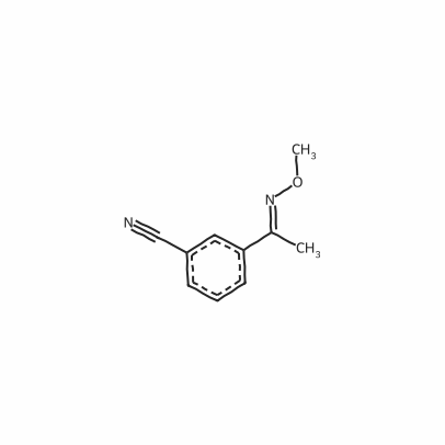 CON=C(C)c1cccc(C#N)c1